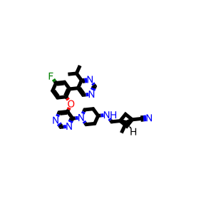 CC(C)c1ncncc1-c1cc(F)ccc1Oc1cncnc1N1CCC(NCC23CC(C#N)(C2)[C@H]3C)CC1